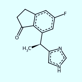 C[C@H](c1c[nH]cn1)c1cc(F)cc2c1C(=O)CC2